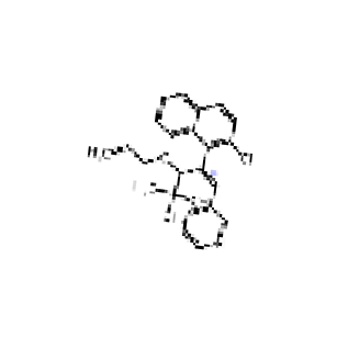 C=CCOC(/C(=C\c1cccnc1)c1c(Cl)ccc2ccccc12)C(C)(C)C